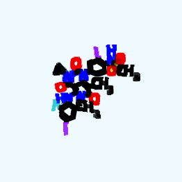 Cc1c(=O)n(C)c(Nc2ccc(I)cc2F)c2c(=O)n(C3CC3)c(=O)n(-c3ccc(NS(C)(=O)=O)c(I)c3)c12